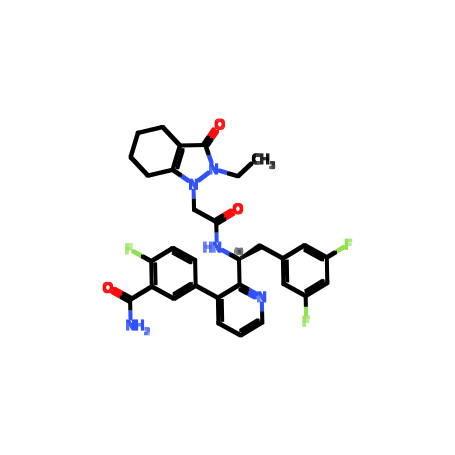 CCn1c(=O)c2c(n1CC(=O)N[C@@H](Cc1cc(F)cc(F)c1)c1ncccc1-c1ccc(F)c(C(N)=O)c1)CCCC2